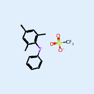 Cc1cc(C)c([I+]c2ccccc2)c(C)c1.O=S(=O)([O-])C(F)(F)F